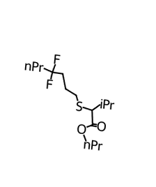 CCCOC(=O)C(SCCCC(F)(F)CCC)C(C)C